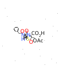 CC(=O)OCC1=C(C(=O)O)N2C(=O)[C@@H](NC(=O)Cc3ccccc3)[C@H]2SC1=O